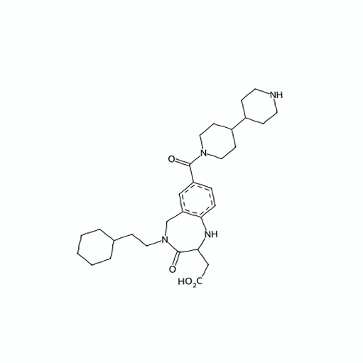 O=C(O)CC1Nc2ccc(C(=O)N3CCC(C4CCNCC4)CC3)cc2CN(CCC2CCCCC2)C1=O